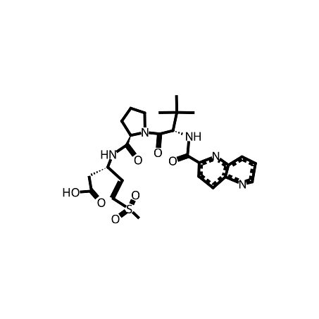 CC(C)(C)[C@H](NC(=O)c1ccc2ncccc2n1)C(=O)N1CCC[C@@H]1C(=O)N[C@H](/C=C/S(C)(=O)=O)CC(=O)O